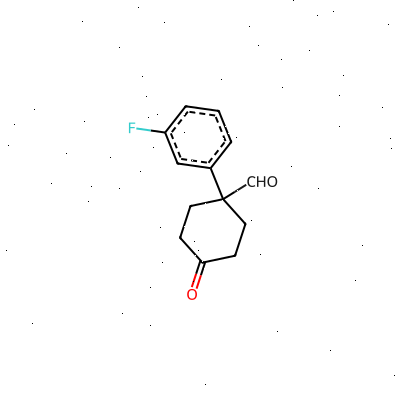 O=CC1(c2cccc(F)c2)CCC(=O)CC1